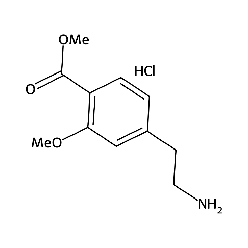 COC(=O)c1ccc(CCN)cc1OC.Cl